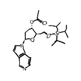 CC(=O)O[C@H]1C[C@H](n2ccc3cnccc32)O[C@@H]1CO[Si](C(C)C)(C(C)C)C(C)C